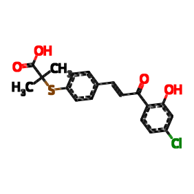 CC(C)(Sc1ccc(C=CC(=O)c2ccc(Cl)cc2O)cc1)C(=O)O